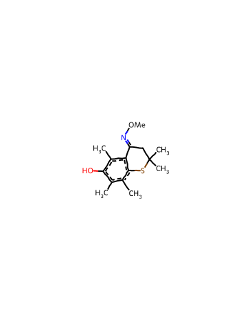 CON=C1CC(C)(C)Sc2c(C)c(C)c(O)c(C)c21